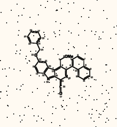 COCc1c(-c2cccc3ccccc23)nc(=C=O)c2c1-c1cc(OCc3ccccc3)ccc1N=2